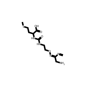 C=N/C(CN)=N\OCCNC(=O)NC(CCSC)C(=O)O